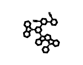 N#Cc1ccccc1-c1ccc(C#N)c(-c2cc(-n3c4ccccc4c4ccccc43)cc(-n3c4ccccc4c4c3ccc3c5ccccc5n(-c5ccccc5)c34)c2)c1